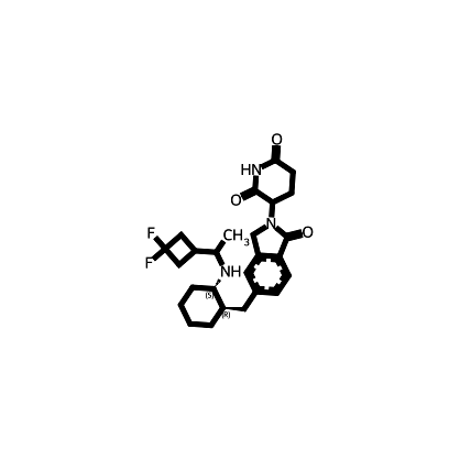 CC(N[C@H]1CCCC[C@@H]1Cc1ccc2c(c1)CN(C1CCC(=O)NC1=O)C2=O)C1CC(F)(F)C1